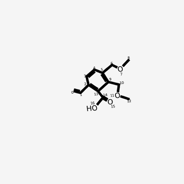 C=Cc1ccc(COC)c(COC)c1C(=O)O